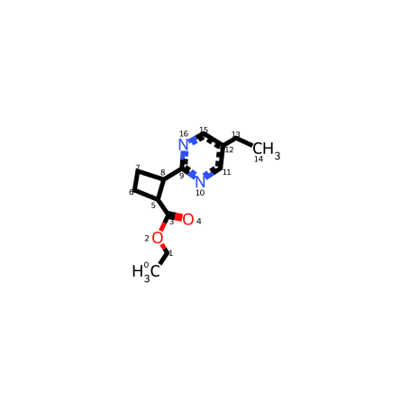 CCOC(=O)C1CCC1c1ncc(CC)cn1